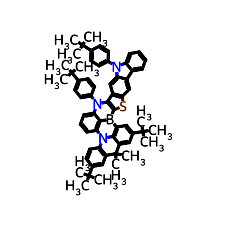 CC(C)(C)c1ccc(N2c3cccc4c3B(c3cc(C(C)(C)C)cc5c3N4c3ccc(C(C)(C)C)cc3C5(C)C)c3sc4cc5c6ccccc6n(-c6ccc(C(C)(C)C)cc6)c5cc4c32)cc1